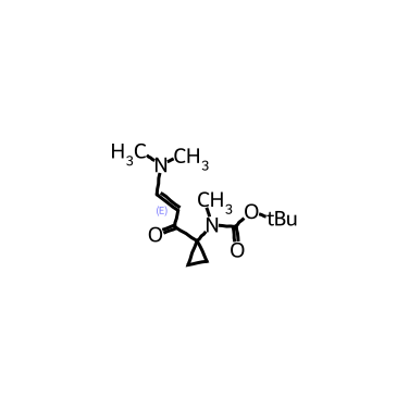 CN(C)/C=C/C(=O)C1(N(C)C(=O)OC(C)(C)C)CC1